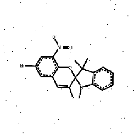 CC1=Cc2cc(Br)cc([N+](=O)[O-])c2OC12N(C)c1ccccc1C2(C)C